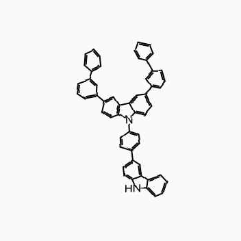 c1ccc(-c2cccc(-c3ccc4c(c3)c3cc(-c5cccc(-c6ccccc6)c5)ccc3n4-c3ccc(-c4ccc5[nH]c6ccccc6c5c4)cc3)c2)cc1